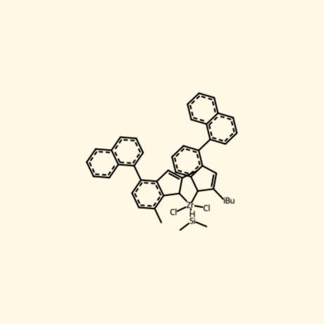 CCC(C)C1=Cc2c(-c3cccc4ccccc34)cccc2[CH]1[Zr]([Cl])([Cl])([CH]1C(C)=Cc2c(-c3cccc4ccccc34)ccc(C)c21)[SiH](C)C